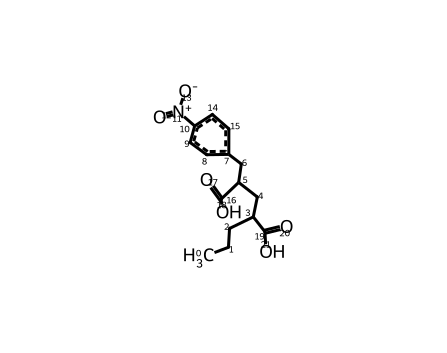 CCCC(CC(Cc1ccc([N+](=O)[O-])cc1)C(=O)O)C(=O)O